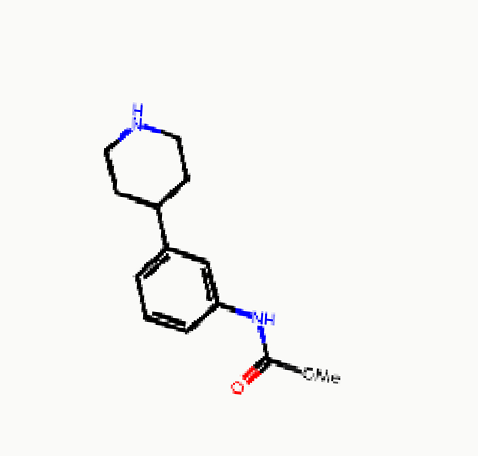 COC(=O)Nc1cccc(C2CCNCC2)c1